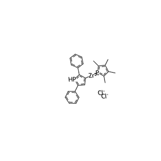 Cc1c(C)c(C)[p]([Zr+2][c]2cc(-c3ccccc3)[pH]c2-c2ccccc2)c1C.[Cl-].[Cl-]